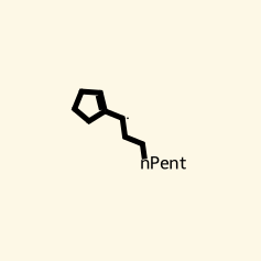 CCCCCCC[CH]C1=CCCC1